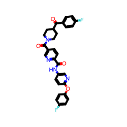 O=C(Nc1ccc(Oc2ccc(F)cc2)nc1)c1ccc(C(=O)N2CCC(C(=O)c3ccc(F)cc3)CC2)cn1